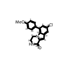 COc1ccc(-c2cc(Cl)cc3cc4n(c23)CCNC4=O)cc1